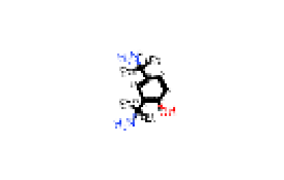 CCC(N)(CC)c1ccc(O)c(C(N)(CC)CC)c1